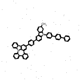 CC1C=Cc2c(n(-c3ccc(-c4ccc(-c5ccccc5)cc4)cc3)c3ccc(-c4ccc(-c5cc6c7c(c5)c5ccccc5n7-c5ccccc5-c5ccccc5-6)cc4)cc23)C1